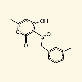 Cc1cc(O)c([S+]([O-])Cc2cccc(F)c2)c(=O)o1